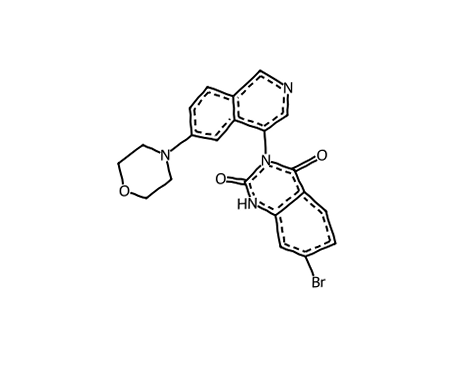 O=c1[nH]c2cc(Br)ccc2c(=O)n1-c1cncc2ccc(N3CCOCC3)cc12